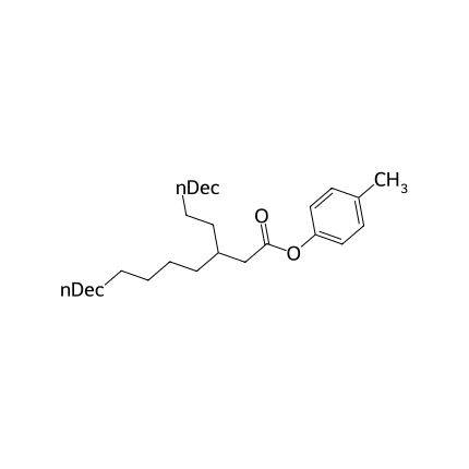 CCCCCCCCCCCCCCC(CCCCCCCCCCCC)CC(=O)Oc1ccc(C)cc1